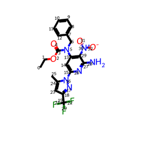 CCOC(=O)N(Cc1ccccc1)c1cc(-n2nc(C(F)(F)F)cc2C)nc(N)c1[N+](=O)[O-]